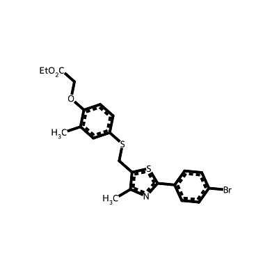 CCOC(=O)COc1ccc(SCc2sc(-c3ccc(Br)cc3)nc2C)cc1C